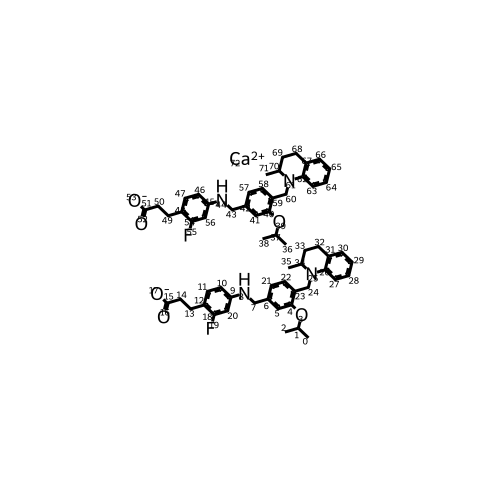 CC(C)Oc1cc(CNc2ccc(CCC(=O)[O-])c(F)c2)ccc1CN1c2ccccc2CCC1C.CC(C)Oc1cc(CNc2ccc(CCC(=O)[O-])c(F)c2)ccc1CN1c2ccccc2CCC1C.[Ca+2]